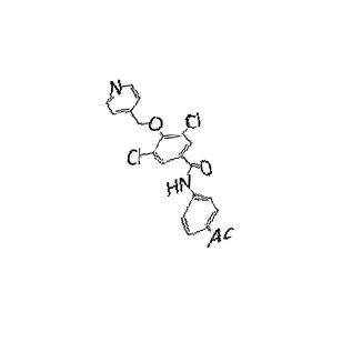 CC(=O)c1ccc(NC(=O)c2cc(Cl)c(OCc3ccncc3)c(Cl)c2)cc1